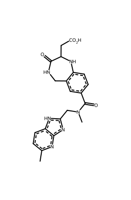 Cc1ccc2[nH]c(CN(C)C(=O)c3ccc4c(c3)CNC(=O)C(CC(=O)O)N4)nc2n1